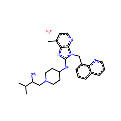 Cc1ccnc2c1nc(NC1CCN(CC(N)C(C)C)CC1)n2Cc1cccc2cccnc12.O